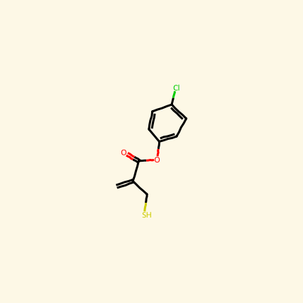 C=C(CS)C(=O)Oc1ccc(Cl)cc1